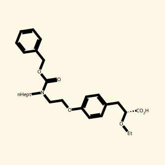 CCCCCCCN(CCOc1ccc(C[C@@H](OCC)C(=O)O)cc1)C(=O)OCc1ccccc1